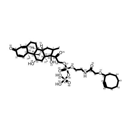 CC1C[C@H]2[C@@H]3CCC4=CC(=O)C=C[C@]4(C)[C@@]3(F)[C@@H](O)C[C@]2(C)[C@@]1(O)C(=O)COP(=O)(OCCNC(=O)COC1C#CCCCCC1)OP(=O)(O)O